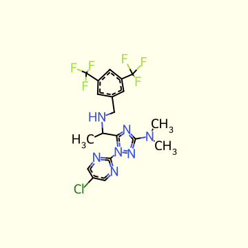 CC(NCc1cc(C(F)(F)F)cc(C(F)(F)F)c1)c1nc(N(C)C)nn1-c1ncc(Cl)cn1